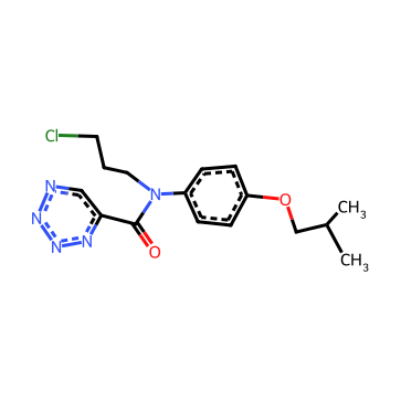 CC(C)COc1ccc(N(CCCCl)C(=O)c2cnnnn2)cc1